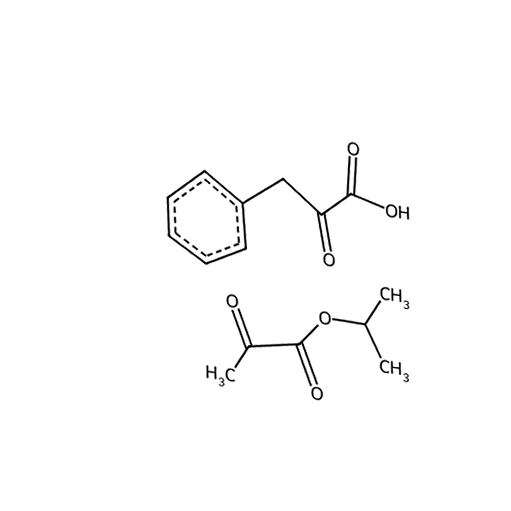 CC(=O)C(=O)OC(C)C.O=C(O)C(=O)Cc1ccccc1